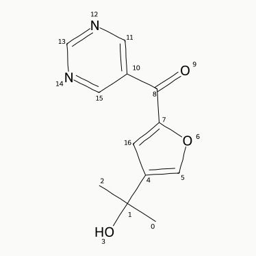 CC(C)(O)c1coc(C(=O)c2cncnc2)c1